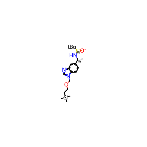 C[C@@H](N[S@@+]([O-])C(C)(C)C)c1ccc2c(c1)ncn2COCC[Si](C)(C)C